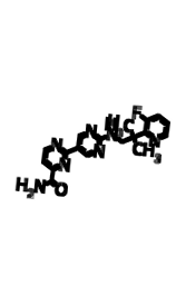 CC(C)(CNc1ncc(-c2nccc(C(N)=O)n2)cn1)c1ncccc1F